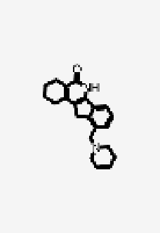 O=c1[nH]c2c(c3c1CCCC3)Cc1c(CN3CC=CCC3)cccc1-2